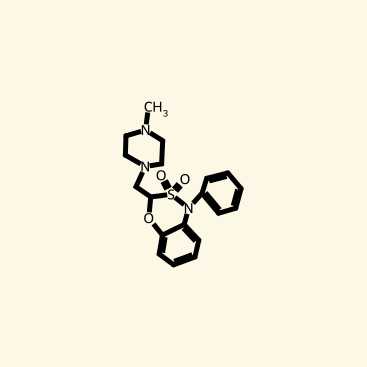 CN1CCN(CC2Oc3ccccc3N(c3ccccc3)S2(=O)=O)CC1